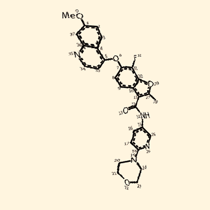 COc1ccc2c(Oc3ccc4c(C(=O)Nc5ccc(N6CCOCC6)nc5)c(C)oc4c3F)ccnc2c1